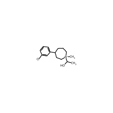 CC(O)[N+]1(C)CCCC(c2cccc(Cl)c2)CC1